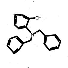 Cc1c[c]ccc1N(Cc1ccccc1)Cc1ccccc1